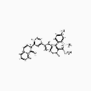 Cc1cc2nc(-c3ccnc(-n4ccc5cccnc5c4=O)c3)sc2c(-c2ccc(Cl)cc2)c1C(OC(C)(C)C)C(=O)O